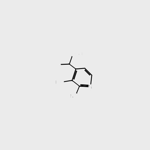 CCCCCCCCC(C)c1ccnc(C#N)c1C(F)(F)F